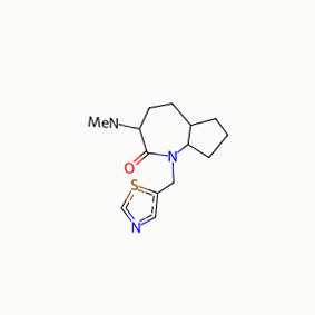 CNC1CCC2CCCC2N(Cc2cncs2)C1=O